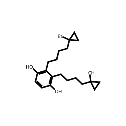 CCC1(CCCCc2c(O)ccc(O)c2CCCCC2(C)CC2)CC1